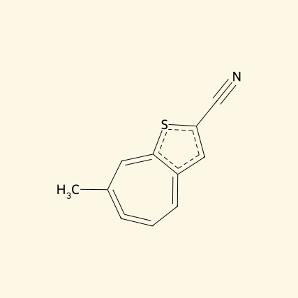 CC1=C=CC=c2cc(C#N)sc2=C1